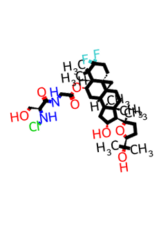 CC(C)(O)[C@@H]1CC[C@@](C)([C@H]2[C@@H](O)C[C@@]3(C)[C@@H]4C[C@H](OC(=O)CNC(=O)[C@H](CO)NCl)[C@H]5C(C)(C)C(F)(F)CC[C@@]56C[C@@]46CC[C@]23C)O1